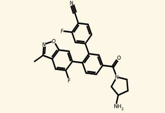 Cc1noc2cc(-c3ccc(C(=O)N4CCC(N)C4)cc3-c3ccc(C#N)c(F)c3)c(F)cc12